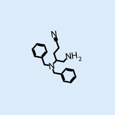 N#CCCC(CN)N(Cc1ccccc1)Cc1ccccc1